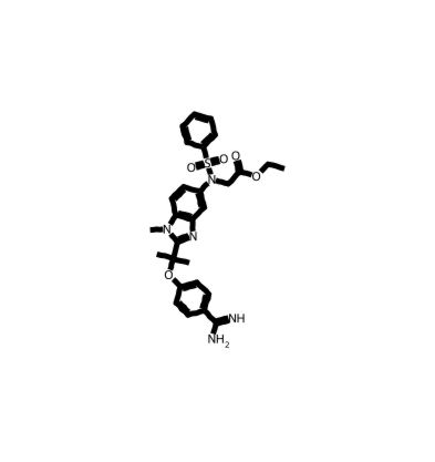 CCOC(=O)CN(c1ccc2c(c1)nc(C(C)(C)Oc1ccc(C(=N)N)cc1)n2C)S(=O)(=O)c1ccccc1